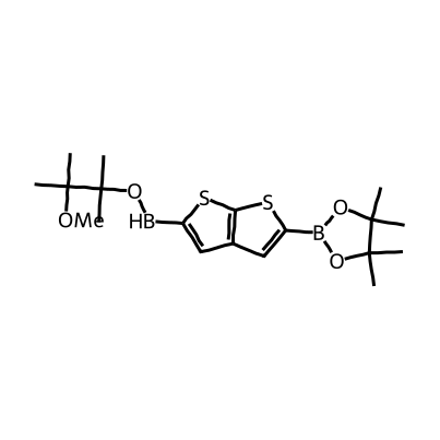 COC(C)(C)C(C)(C)OBc1cc2cc(B3OC(C)(C)C(C)(C)O3)sc2s1